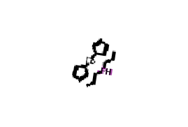 C1=C[CH]([Co][CH]2C=CC=C2)C=C1.CCCPCCC